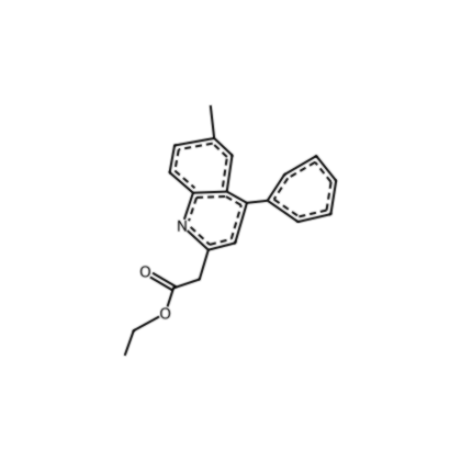 CCOC(=O)Cc1cc(-c2ccccc2)c2cc(C)ccc2n1